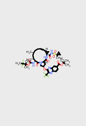 C[C@@H]1CCC=C[C@@H]2C[C@@]2(C(=O)NS(=O)(=O)C2(C)CC2)NC(=O)[C@@H]2C[C@@H](Oc3nc4cc(C(=O)OC(C)(C)C)ccc4nc3C(F)(F)F)CN2C(=O)[C@@H](NC(=O)OC(C)(C)C(C)(F)F)[C@H](C)C1